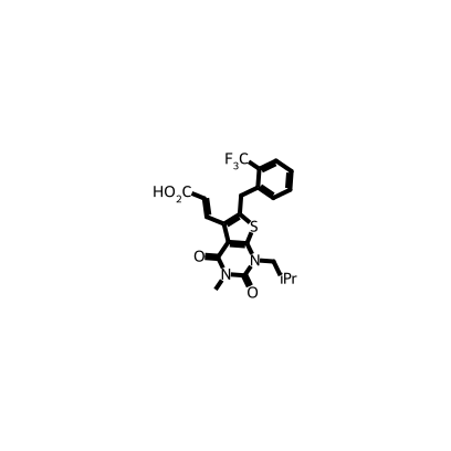 CC(C)Cn1c(=O)n(C)c(=O)c2c(/C=C/C(=O)O)c(Cc3ccccc3C(F)(F)F)sc21